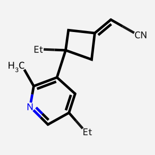 CCc1cnc(C)c(C2(CC)CC(=CC#N)C2)c1